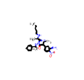 CCCCCN/C(C)=C1\NC(C)=C(c2ccc([N+](=O)[O-])c(N)c2)C(=O)N1/N=C(\C)c1ccccc1